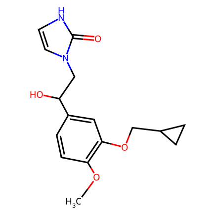 COc1ccc(C(O)Cn2cc[nH]c2=O)cc1OCC1CC1